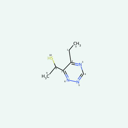 CCc1ncnnc1C(C)S